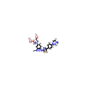 CCc1cc(N(CCOC)CCOC)ccc1Nc1nc(-c2ccc(-n3ccnc3)cc2)cs1